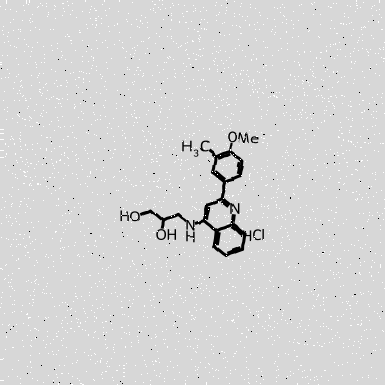 COc1ccc(-c2cc(NCC(O)CO)c3ccccc3n2)cc1C.Cl